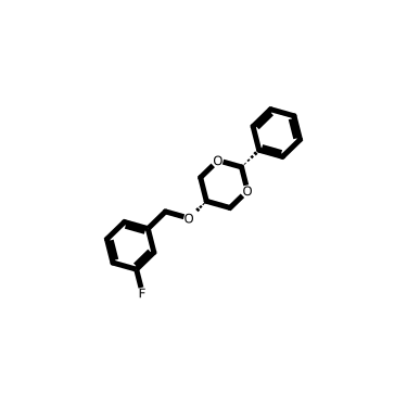 Fc1cccc(CO[C@H]2CO[C@@H](c3ccccc3)OC2)c1